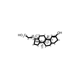 C[C@]12CC[C@H]3[C@@H](CCC4CCC(O)=C[C@@]43C)[C@@H]1CC[C@@H]2CCC(=O)O